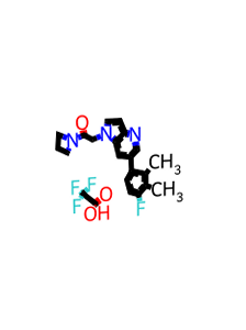 Cc1c(F)ccc(-c2cnc3ccn(CC(=O)N4CCC4)c3c2)c1C.O=C(O)C(F)(F)F